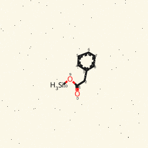 O=C(Cc1ccccc1)O[SiH3]